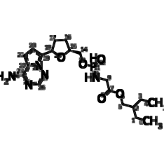 CCC(CC)COC(=O)CN[PH](=O)OC[C@@H]1CCC(c2ccc3c(N)ncnn23)O1